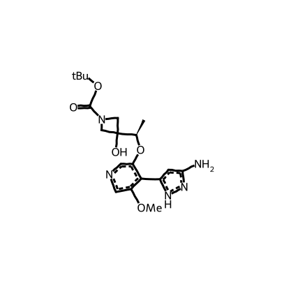 COc1cncc(O[C@H](C)C2(O)CN(C(=O)OC(C)(C)C)C2)c1-c1cc(N)n[nH]1